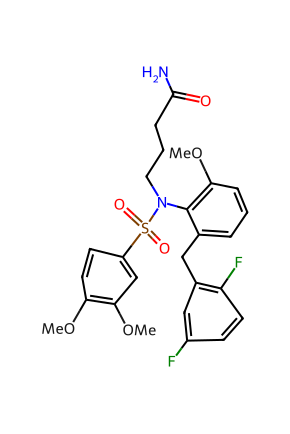 COc1ccc(S(=O)(=O)N(CCCC(N)=O)c2c(Cc3cc(F)ccc3F)cccc2OC)cc1OC